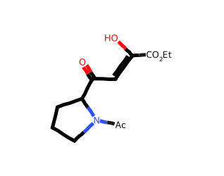 CCOC(=O)C(O)=CC(=O)C1CCCN1C(C)=O